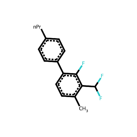 CCCc1ccc(-c2ccc(C)c(C(F)F)c2F)cc1